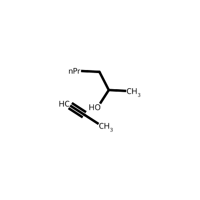 C#CC.CCCCC(C)O